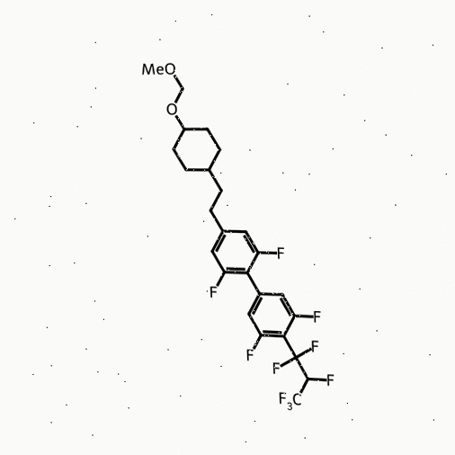 COCOC1CCC(CCc2cc(F)c(-c3cc(F)c(C(F)(F)C(F)C(F)(F)F)c(F)c3)c(F)c2)CC1